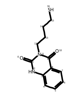 O=c1[nH]c2ccccc2c(=O)n1CCCCS